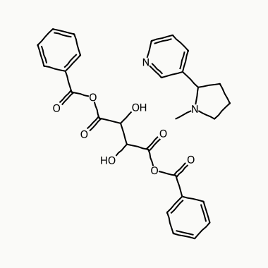 CN1CCCC1c1cccnc1.O=C(OC(=O)C(O)C(O)C(=O)OC(=O)c1ccccc1)c1ccccc1